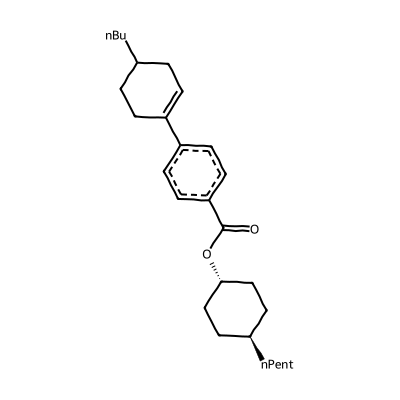 CCCCC[C@H]1CC[C@H](OC(=O)c2ccc(C3=CCC(CCCC)CC3)cc2)CC1